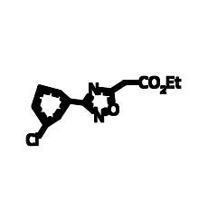 CCOC(=O)Cc1nc(-c2cccc(Cl)c2)no1